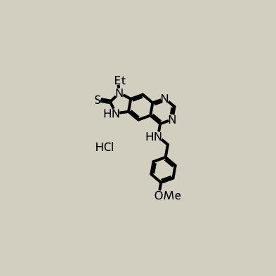 CCn1c(=S)[nH]c2cc3c(NCc4ccc(OC)cc4)ncnc3cc21.Cl